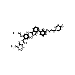 CCOc1cc(NC2CCc3c(-c4cccc(OCCCN5CCC(F)CC5)c4C)cccc32)c(Cl)cc1CN[C@@H](CO)C(=O)OC